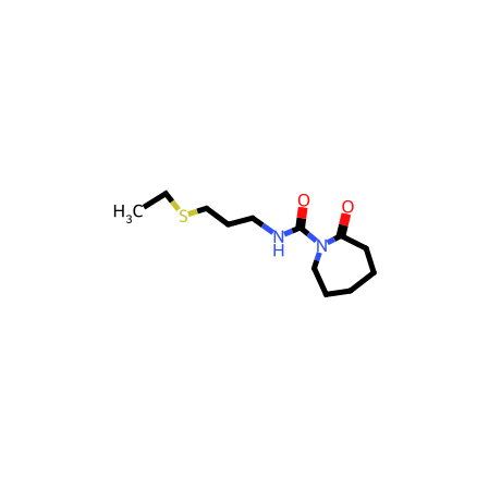 CCSCCCNC(=O)N1CCCCCC1=O